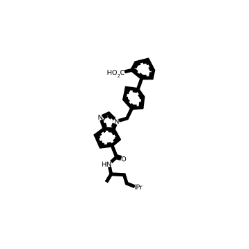 CC(C)CCC(C)NC(=O)c1ccc2ncn(Cc3ccc(-c4ccccc4C(=O)O)cc3)c2c1